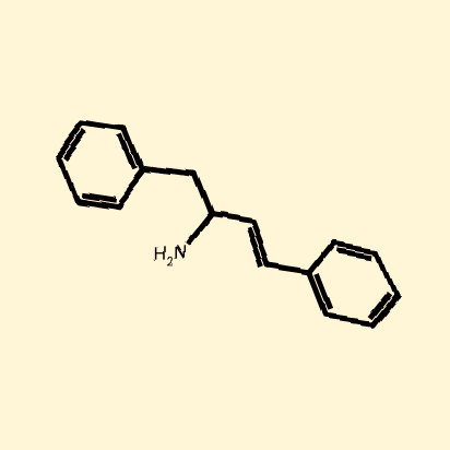 NC(C=Cc1ccccc1)Cc1ccccc1